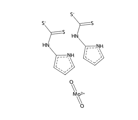 S=C([S-])Nc1ccc[nH]1.S=C([S-])Nc1ccc[nH]1.[O]=[Mo+2]=[O]